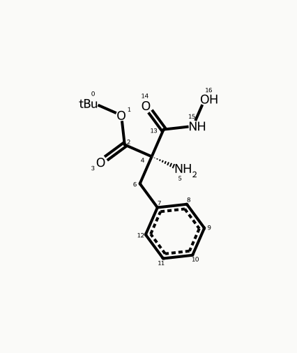 CC(C)(C)OC(=O)[C@](N)(Cc1ccccc1)C(=O)NO